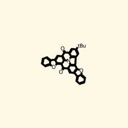 CC(C)(C)c1cc2c(=O)c3cc4c5ccccc5oc4c4c(=O)c5cc6c7ccccc7oc6c6c(c1)c2n(c34)c56